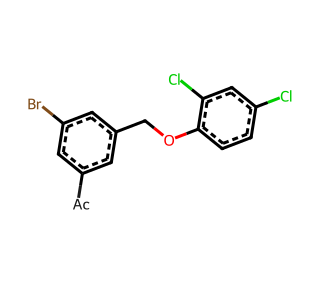 CC(=O)c1cc(Br)cc(COc2ccc(Cl)cc2Cl)c1